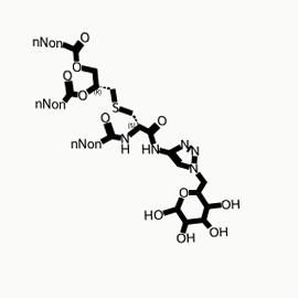 CCCCCCCCCC(=O)N[C@H](CSC[C@@H](COC(=O)CCCCCCCCC)OC(=O)CCCCCCCCC)C(=O)Nc1cn(CC2OC(O)C(O)C(O)C2O)nn1